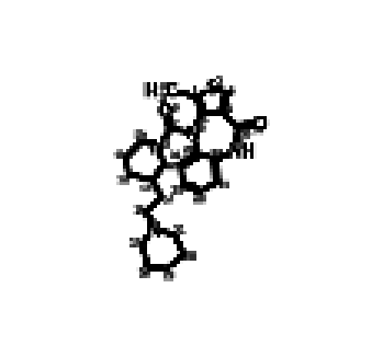 Cc1scc2c1N(C(=O)N1CCCC(CCN3CCCCC3)C1)c1ccccc1NC2=O